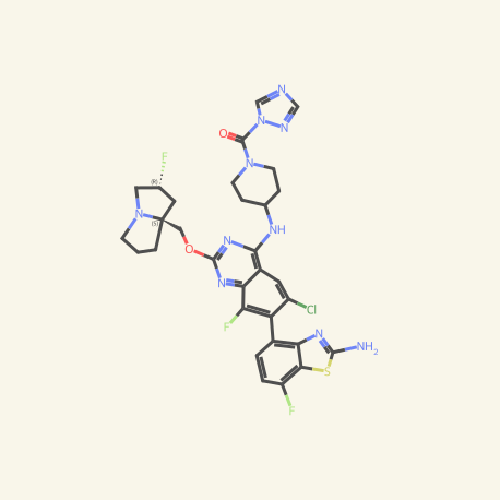 Nc1nc2c(-c3c(Cl)cc4c(NC5CCN(C(=O)n6cncn6)CC5)nc(OC[C@@]56CCCN5C[C@H](F)C6)nc4c3F)ccc(F)c2s1